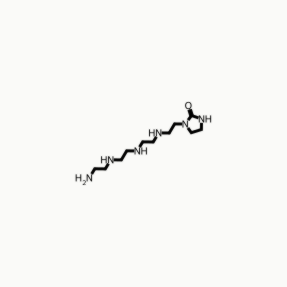 NCCNCCNCCNCCN1CCNC1=O